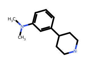 CN(C)c1cccc(C2CC[N]CC2)c1